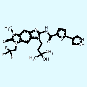 Cn1c(=O)n(CC(F)(F)F)c2cc3c(cc21)nc(NC(=O)c1ccc(-c2cn[nH]c2)s1)n3CCC(C)(C)O